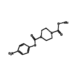 CCCCOC(=O)N1CCN(C(=O)Oc2ccc([N+](=O)[O-])cc2)CC1